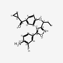 CCC(Oc1ccc(C(=O)C2CC2)cc1)c1noc(-c2ccc(N)c(F)c2)n1